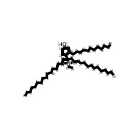 CCCCCCCCCCCCCCCCC(CCCCCCCCCCCCCC)(c1ccccc1CCCCCCCCCCCC)[N+](C)(C)CC.[OH-]